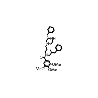 COc1cc(C(=O)N(CCCN2CCN[C@@H](Cc3ccccc3)C2)C/C(C)=C/c2ccccc2)cc(OC)c1OC